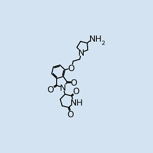 NC1CCN(CCOc2cccc3c2C(=O)N(C2CCC(=O)NC2=O)C3=O)C1